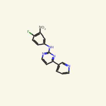 O=[N+]([O-])c1cc(Nc2nccc(-c3cccnc3)n2)ccc1F